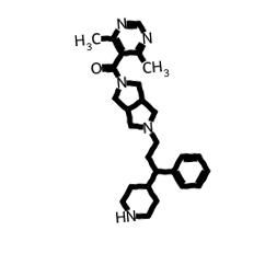 Cc1ncnc(C)c1C(=O)N1CC2CN(CCC(c3ccccc3)C3CCNCC3)CC2C1